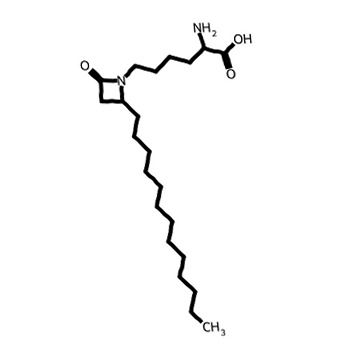 CCCCCCCCCCCCCC1CC(=O)N1CCCCC(N)C(=O)O